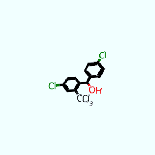 OC(c1ccc(Cl)cc1)c1ccc(Cl)cc1C(Cl)(Cl)Cl